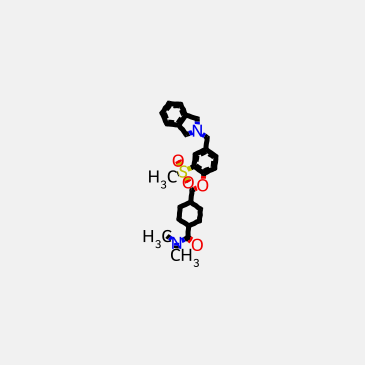 CN(C)C(=O)C1CCC(COc2ccc(CN3Cc4ccccc4C3)cc2S(C)(=O)=O)CC1